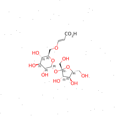 O=C(O)C=COC[C@H]1O[C@H](O[C@]2(CO)O[C@H](CO)[C@@H](O)[C@@H]2O)[C@H](O)[C@@H](O)[C@@H]1O